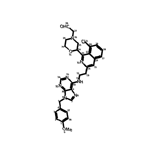 COc1ccc(Cn2cnc3c(NCCc4cc5cccc(Cl)c5c(C5CN(CC=O)CCO5)n4)ncnc32)cc1